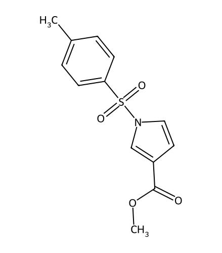 COC(=O)c1ccn(S(=O)(=O)c2ccc(C)cc2)c1